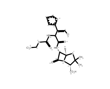 CC1(C)S[C@@H]2[C@@H](NC(=O)C(NC(=O)OCC(Cl)(Cl)Cl)/C(=C\Cl)c3cccs3)C(=O)N2[C@H]1C(=O)O